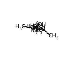 CCCCCCCCOC(C)OC(C)OC(=O)C(O)(C(C)OC(C)OCCCCCCCC)C(O)C(=O)O